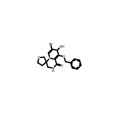 O=C1NCC2(CCOC2)N2C=C(Br)C(O)C(OCc3ccccc3)=C12